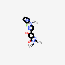 Cc1nc2cc(-c3ccc(N(C)[C@@H]4CC5CCC(N5)[C@@H]4F)nn3)c(O)cc2c(=O)n1CC(F)(F)F